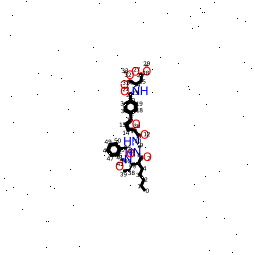 CCCCCC(C(=O)NCNC(=O)c1ccc(-c2ccc(C(=O)NC(CC(=O)OC)C(=O)OC)cc2)o1)[C@@H](CC)N(C=O)OCc1ccccc1